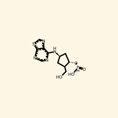 O=[PH](O)O[C@H]1C[C@H](Nc2ncnc3scnc23)CC1CO